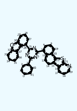 c1ccc(-c2nc(-c3cccc4c3ccc3c5cccnc5sc43)nc(-c3cccc4oc5ccccc5c34)n2)cc1